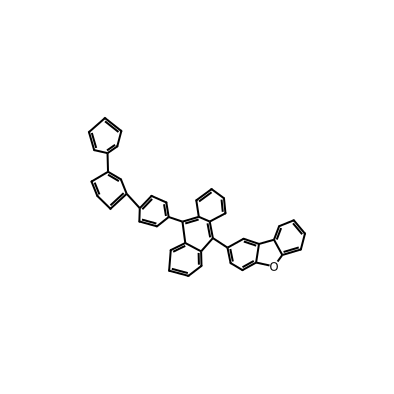 c1ccc(-c2cccc(-c3ccc(-c4c5ccccc5c(-c5ccc6oc7ccccc7c6c5)c5ccccc45)cc3)c2)cc1